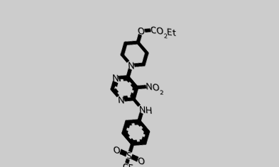 CCOC(=O)OC1CCN(c2ncnc(Nc3ccc(S(=O)(=O)C(F)(F)F)cc3)c2[N+](=O)[O-])CC1